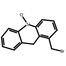 [O-][S+]1c2ccccc2Cc2c(CBr)cccc21